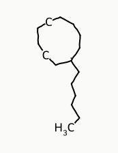 CCCCCC[C]1CCCCCCCCC1